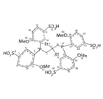 CCC(CC)(CP(c1cc(S(=O)(=O)O)ccc1OC)c1cc(S(=O)(=O)O)ccc1OC)CP(c1cc(S(=O)(=O)O)ccc1OC)c1cc(S(=O)(=O)O)ccc1OC